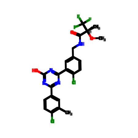 CO[C@](C)(C(=O)NCc1ccc(Cl)c(-c2nc(O)nc(-c3ccc(Cl)c(C)c3)n2)c1)C(F)(F)F